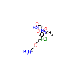 Cl.Cn1c(=O)n(C2CCC(=O)NC2=O)c2ccc(CCCCOCCCCN)cc21